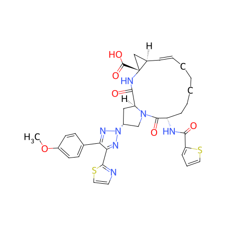 COc1ccc(-c2nn([C@@H]3C[C@H]4C(=O)N[C@]5(C(=O)O)C[C@H]5/C=C\CCCCC[C@H](NC(=O)c5cccs5)C(=O)N4C3)nc2-c2nccs2)cc1